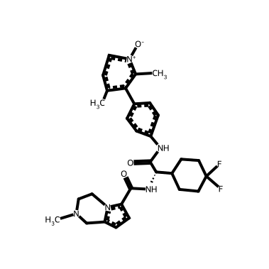 Cc1cc[n+]([O-])c(C)c1-c1ccc(NC(=O)[C@@H](NC(=O)c2ccc3n2CCN(C)C3)C2CCC(F)(F)CC2)cc1